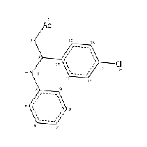 CC(=O)CC(Nc1ccccc1)c1ccc(Cl)cc1